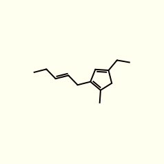 CCC=CCC1=C(C)CC(CC)=C1